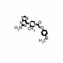 COc1ccc(OCC(=O)N2CCN(c3nc(N)nc4scnc34)[C@@H](C)C2)cc1